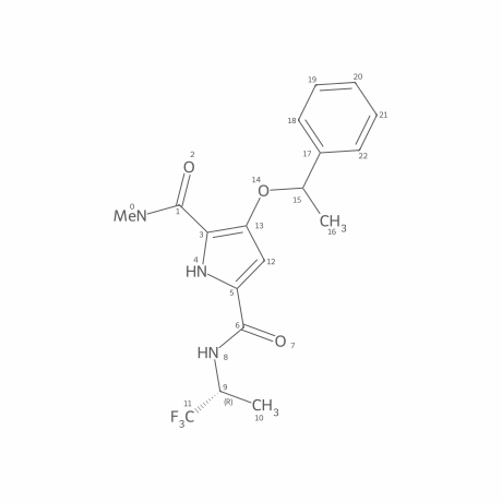 CNC(=O)c1[nH]c(C(=O)N[C@H](C)C(F)(F)F)cc1OC(C)c1ccccc1